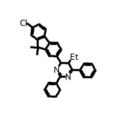 CCC1C(c2ccccc2)=NC(C2=CC=CCC2)=NC1c1ccc2c(c1)C(C)(C)c1cc(Cl)ccc1-2